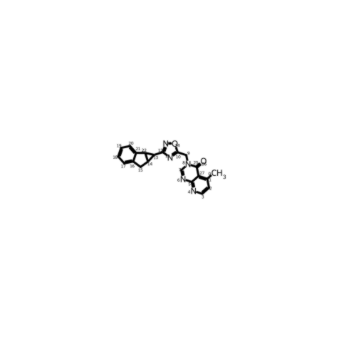 Cc1ccnc2ncn(Cc3nc(C4C5Cc6ccccc6C54)no3)c(=O)c12